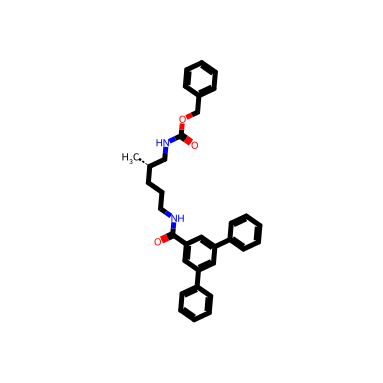 C[C@@H](CCCNC(=O)c1cc(-c2ccccc2)cc(-c2ccccc2)c1)CNC(=O)OCc1ccccc1